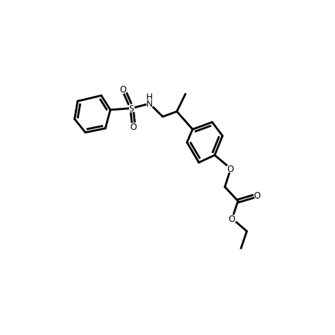 CCOC(=O)COc1ccc(C(C)CNS(=O)(=O)c2ccccc2)cc1